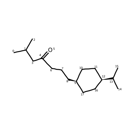 CC(C)CC(=O)CCC[C@H]1CC[C@@H](C(C)C)CC1